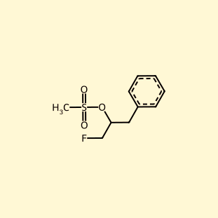 CS(=O)(=O)OC(CF)Cc1ccccc1